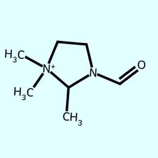 CC1N(C=O)CC[N+]1(C)C